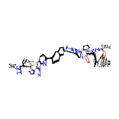 COC(=O)N[C@H](C(=O)N1CCC[C@H]1c1ncc(-c2ccc3cc(-c4ccc5nc([C@@H]6CCCN6C(=O)[C@@H](NC=O)C(C)C)[nH]c5n4)ccc3c2)[nH]1)[C@@H](C)OC